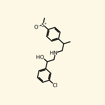 CC(CNCC(O)c1cccc(Cl)c1)c1ccc([S+](C)[O-])cc1